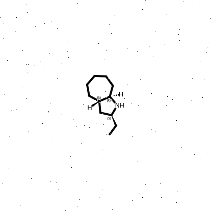 CC[C@H]1C[C@@H]2CCCCC[C@H]2N1